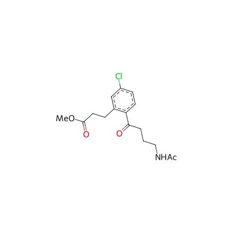 COC(=O)CCc1cc(Cl)ccc1C(=O)CCCNC(C)=O